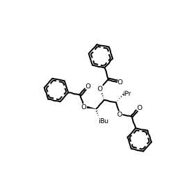 CC[C@@H](C)[C@@H](OC(=O)c1ccccc1)[C@H](OC(=O)c1ccccc1)[C@@H](OC(=O)c1ccccc1)C(C)C